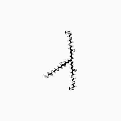 O=C(C=CC=CP(C=CC=CC(=O)CCOCCOCCO)C=CC=CC(=O)CCOCCOCCO)CCOCCOCCO